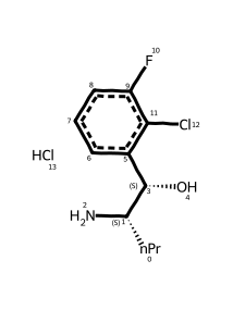 CCC[C@H](N)[C@@H](O)c1cccc(F)c1Cl.Cl